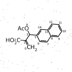 C=C(C(=O)O)C(OC(C)=O)c1ccc2ccccc2c1